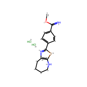 CCOC(=N)c1ccc(-c2nc3c(s2)NCCCC3)cc1.Cl.Cl